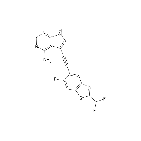 Nc1ncnc2[nH]cc(C#Cc3cc4nc(C(F)F)sc4cc3F)c12